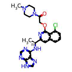 C[C@H](Nc1ncnc2[nH]cnc12)c1cc2cccc(Cl)c2c(OCC(=O)N2CCN(C)CC2)n1